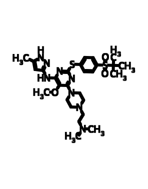 COc1c(Nc2cc(C)[nH]n2)nc(Sc2ccc(S(=O)(=O)C(C)(C)C)cc2)nc1N1CCN(CCN(C)C)CC1